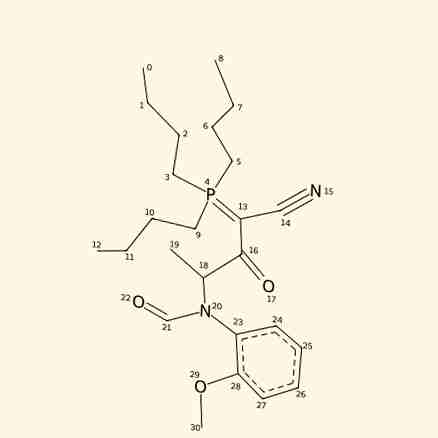 CCCCP(CCCC)(CCCC)=C(C#N)C(=O)C(C)N(C=O)c1ccccc1OC